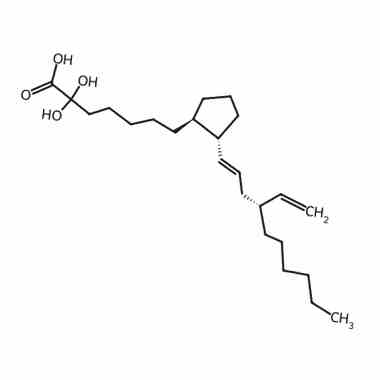 C=C[C@@H](CC=C[C@H]1CCC[C@@H]1CCCCCC(O)(O)C(=O)O)CCCCCC